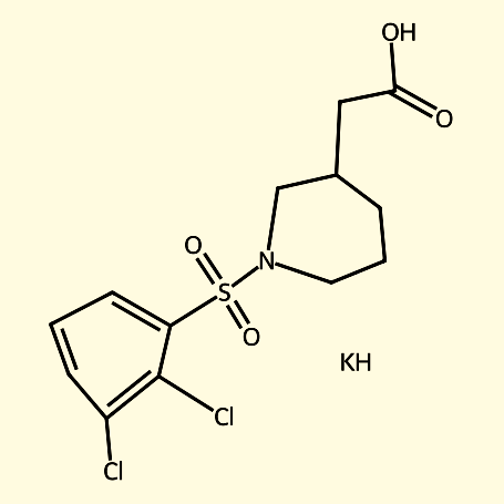 O=C(O)CC1CCCN(S(=O)(=O)c2cccc(Cl)c2Cl)C1.[KH]